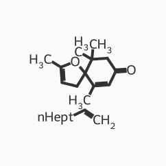 C=CCCCCCCC.CC1=CCC2(O1)C(C)=CC(=O)CC2(C)C